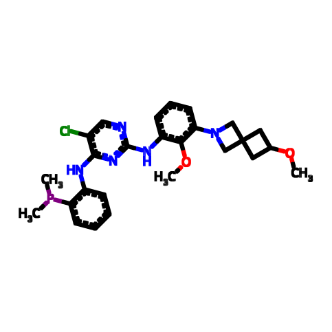 COc1c(Nc2ncc(Cl)c(Nc3ccccc3P(C)C)n2)cccc1N1CC2(CC(OC)C2)C1